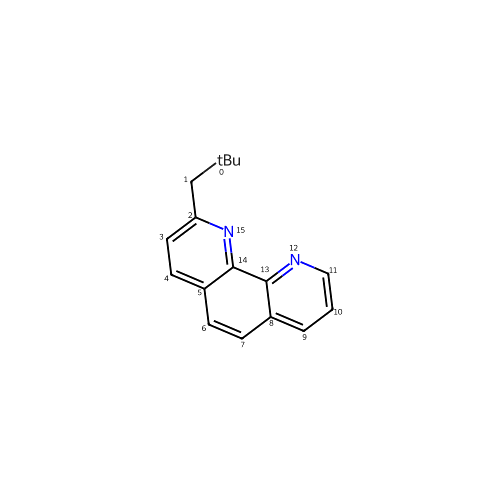 CC(C)(C)Cc1ccc2ccc3cccnc3c2n1